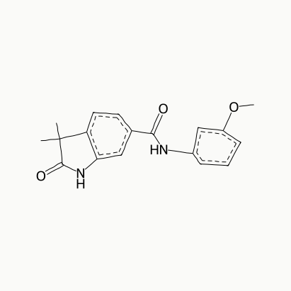 COc1cccc(NC(=O)c2ccc3c(c2)NC(=O)C3(C)C)c1